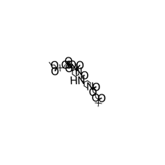 CCOC(=O)C(C)(C)COS(=O)(=O)ON1C(=O)N2CC1CC[C@H]2C(=O)NC1CCN(C(=O)OCOC(=O)C(C)(C)C)CC1